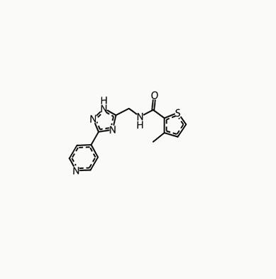 Cc1ccsc1C(=O)NCc1nc(-c2ccncc2)n[nH]1